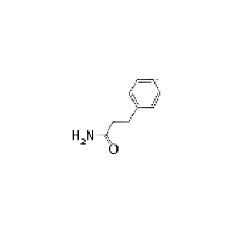 NC(=O)CCc1cc[c]cc1